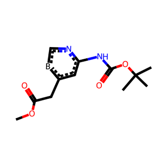 COC(=O)Cc1bcnc(NC(=O)OC(C)(C)C)c1